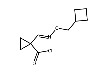 O=C(Cl)C1(C=NOCC2CCC2)CC1